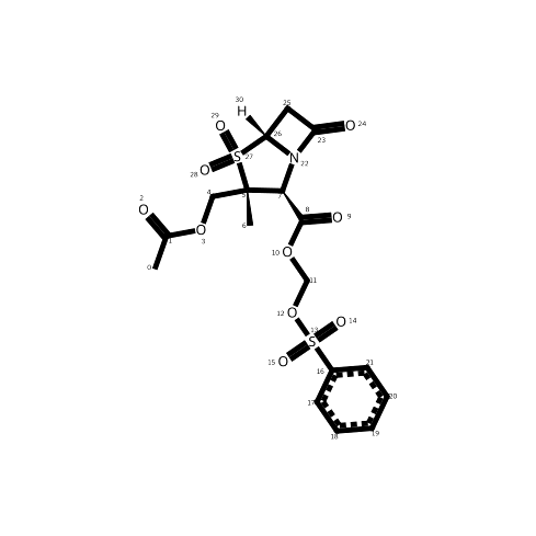 CC(=O)OC[C@@]1(C)[C@H](C(=O)OCOS(=O)(=O)c2ccccc2)N2C(=O)C[C@H]2S1(=O)=O